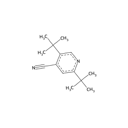 CC(C)(C)c1cc(C#N)c(C(C)(C)C)cn1